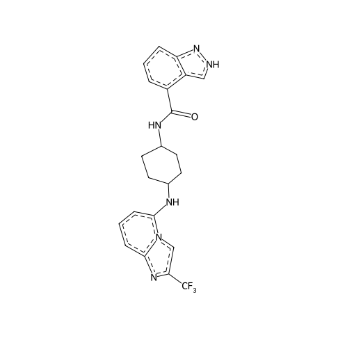 O=C(NC1CCC(Nc2cccc3nc(C(F)(F)F)cn23)CC1)c1cccc2n[nH]cc12